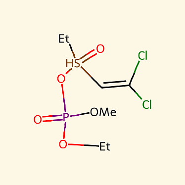 CCOP(=O)(OC)O[SH](=O)(C=C(Cl)Cl)CC